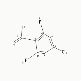 C=C(C)c1c(F)cc(Cl)cc1F